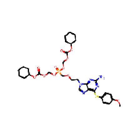 COc1ccc(Sc2nc(N)nc3c2ncn3CCOCP(=O)(OCOC(=O)OC2CCCCC2)OCOC(=O)OC2CCCCC2)cc1